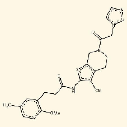 COc1ccc(C)cc1CCC(=O)Nc1sc2c(c1C#N)CCN(C(=O)Cn1ccnc1)C2